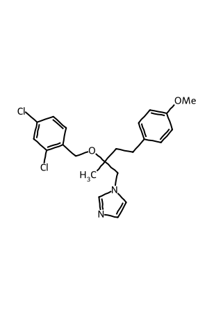 COc1ccc(CCC(C)(Cn2ccnc2)OCc2ccc(Cl)cc2Cl)cc1